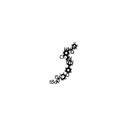 CC(C)(C)OC(=O)N1CCC(Oc2ccc(-c3cnc4nc(-c5cc(NC(=O)N6CCCC6)ccc5Cl)cn4c3)cc2)CC1